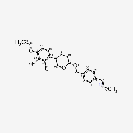 C/C=C/c1ccc(COC2CCC(c3ccc(OCC)c(F)c3F)CO2)cc1